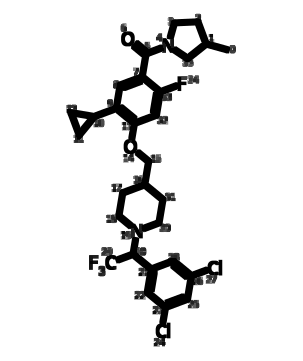 CC1CCN(C(=O)c2cc(C3CC3)c(OCC3CCN(C(c4cc(Cl)cc(Cl)c4)C(F)(F)F)CC3)cc2F)C1